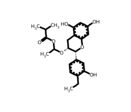 CCc1ccc([C@H]2Oc3cc(O)cc(O)c3C[C@H]2OC(C)OC(=O)C(C)C)cc1O